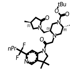 CCCC(F)(F)c1cc2c(cn1)C(C)(C)CN2C(=O)CN1C[C@@H](C)N(C(=O)OC(C)(C)C)C[C@@H]1CN1C[C@@H](C)CC1=O